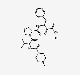 CC(C)[C@H](NC(=O)N1CCN(C)CC1)C(=O)N1CSC[C@H]1C(=O)N[C@@H](Cc1ccccc1)C(=O)C(=O)O.Cl